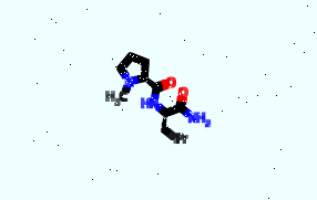 CC(C)C[C@H](NC(=O)[C@@H]1CCCN1C)C(N)=O